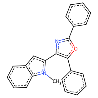 Cn1c(-c2nc(-c3ccccc3)oc2-c2ccccc2)cc2ccccc21